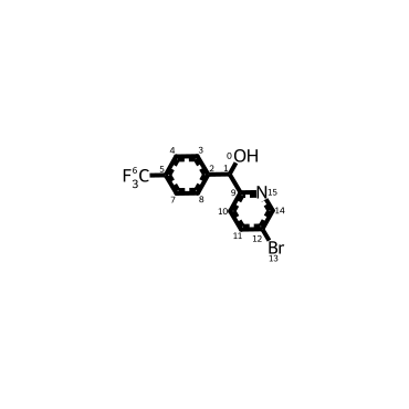 OC(c1ccc(C(F)(F)F)cc1)c1ccc(Br)cn1